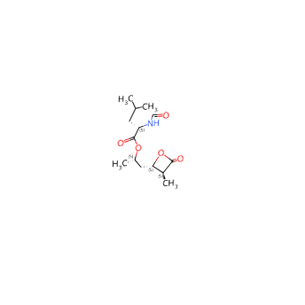 CC(C)C[C@H](NC=O)C(=O)O[C@@H](C)C[C@@H]1OC(=O)[C@H]1C